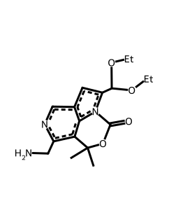 CCOC(OCC)c1cc2cnc(CN)c3c2n1C(=O)OC3(C)C